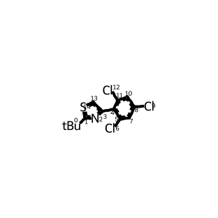 CC(C)(C)c1nc(-c2c(Cl)cc(Cl)cc2Cl)cs1